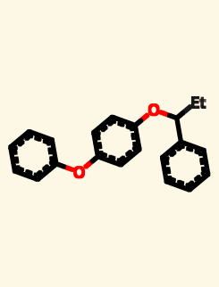 CCC(Oc1ccc(Oc2ccccc2)cc1)c1ccccc1